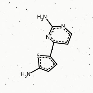 Nc1nccc(-c2ccc(N)s2)n1